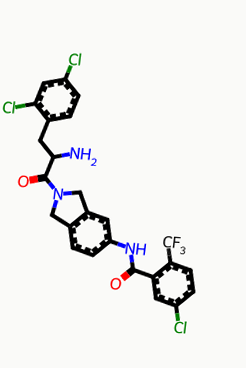 NC(Cc1ccc(Cl)cc1Cl)C(=O)N1Cc2ccc(NC(=O)c3cc(Cl)ccc3C(F)(F)F)cc2C1